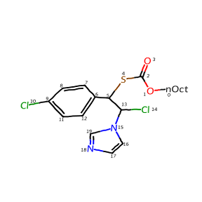 CCCCCCCCOC(=O)SC(c1ccc(Cl)cc1)C(Cl)n1ccnc1